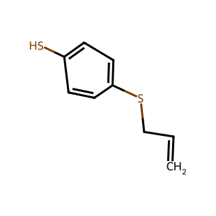 C=CCSc1ccc(S)cc1